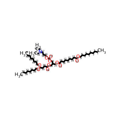 CCCCCCCCCCOC(=O)CCCCCCCC(=O)OCC(COC(=O)CCC(OCCCCCCCC)OCCCCCCCC)COC(=O)OCCCN(CC)CC